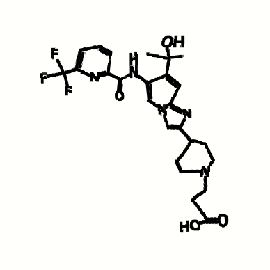 CC(C)(O)c1cc2nc(C3CCN(CCC(=O)O)CC3)cn2cc1NC(=O)c1cccc(C(F)(F)F)n1